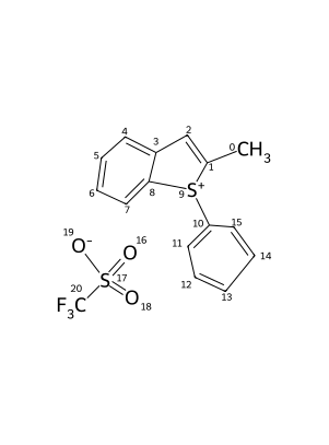 Cc1cc2ccccc2[s+]1-c1ccccc1.O=S(=O)([O-])C(F)(F)F